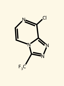 FC(F)(F)c1nnc2c(Cl)nccn12